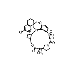 CN1C(=O)OCC2CC[C@H]2CN2C[C@@]3(CCCc4cc(Cl)ccc43)COc3ccc(cc32)S(=O)(=O)NC(=O)N2CC[C@@H]1C2